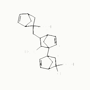 O=C(O)C1C(CC2(C(=O)O)CC3C=CC2C3)C2C=CC1(C13C=CC(C1)C(C(=O)O)(C(F)(F)F)C3)C2